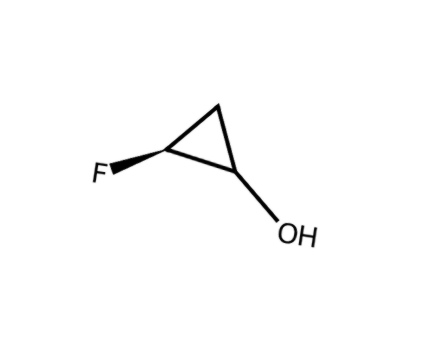 OC1C[C@@H]1F